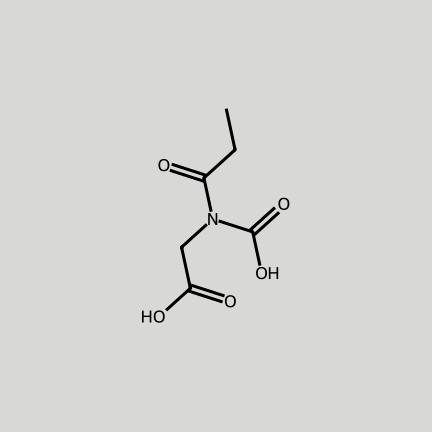 CCC(=O)N(CC(=O)O)C(=O)O